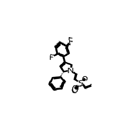 CCS(=O)(=O)CCN1CC(c2cc(F)ccc2F)=C[C@H]1c1ccccc1